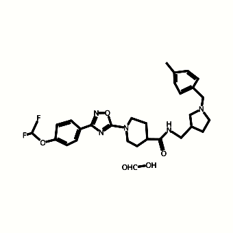 Cc1ccc(CN2CCC(CNC(=O)C3CCN(c4nc(-c5ccc(OC(F)F)cc5)no4)CC3)C2)cc1.O=CO